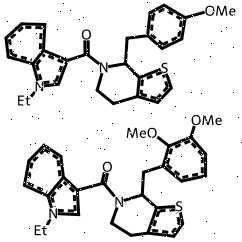 CCn1cc(C(=O)N2CCc3ccsc3C2Cc2ccc(OC)cc2)c2ccccc21.CCn1cc(C(=O)N2CCc3ccsc3C2Cc2cccc(OC)c2OC)c2ccccc21